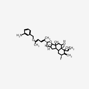 C=CC1(C)C(=C)[C@@H](F)CC2C3C[C@H]4O[C@@H](/C(C)=C/C=C(\C)OCc5cccc(N)c5)O[C@@]4(C)C3(C)CC(O)[C@@]21F